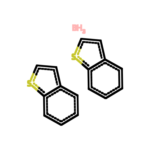 B.c1ccc2sccc2c1.c1ccc2sccc2c1